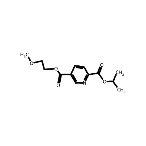 COCCOC(=O)c1ccc(C(=O)OC(C)C)nc1